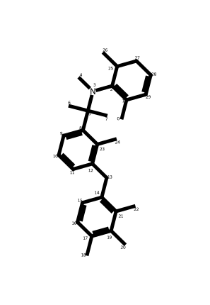 CC1=C(N(C)C(C)(C)c2cccc(Cc3ccc(C)c(C)c3C)c2C)C(C)CC=C1